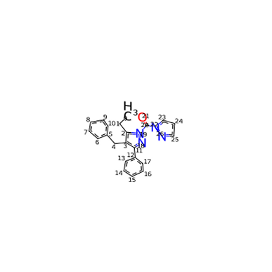 CCc1c(Cc2ccccc2)c(-c2ccccc2)nn1C(=O)n1cccn1